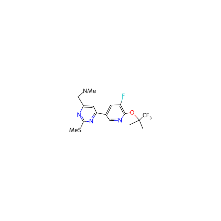 CNCc1cc(-c2cnc(OC(C)(C)C(F)(F)F)c(F)c2)nc(SC)n1